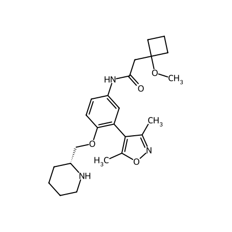 COC1(CC(=O)Nc2ccc(OC[C@H]3CCCCN3)c(-c3c(C)noc3C)c2)CCC1